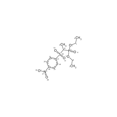 CCOP(=O)(OCC)C(C)S(=O)(=O)c1ccc([N+](=O)[O-])cc1